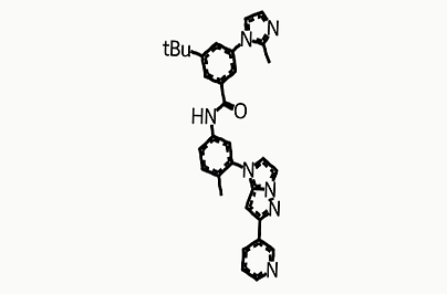 Cc1ccc(NC(=O)c2cc(-n3ccnc3C)cc(C(C)(C)C)c2)cc1-n1ccn2nc(-c3cccnc3)cc12